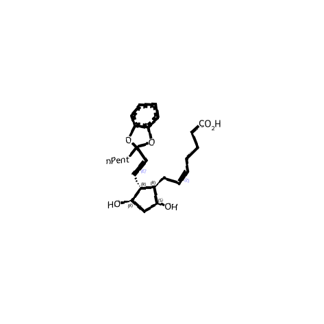 CCCCCC1(/C=C/[C@@H]2[C@@H](C/C=C\CCCC(=O)O)[C@@H](O)C[C@H]2O)Oc2ccccc2O1